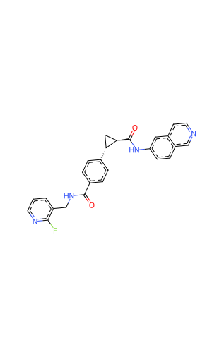 O=C(NCc1cccnc1F)c1ccc([C@@H]2C[C@H]2C(=O)Nc2ccc3cnccc3c2)cc1